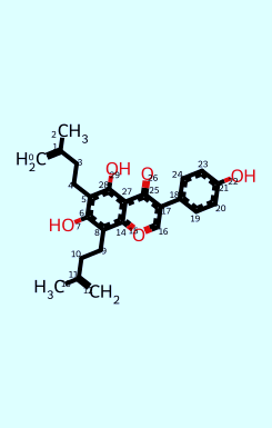 C=C(C)CCc1c(O)c(CCC(=C)C)c2occ(-c3ccc(O)cc3)c(=O)c2c1O